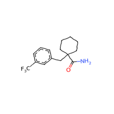 NC(=O)C1(Cc2cccc(C(F)(F)F)c2)CCCCC1